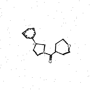 O=C(C1CCOCC1)N1CC[C@@H](c2ccccc2)C1